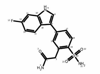 NC(=O)Cc1cc(-c2c[nH]c3cc(F)ccc23)ccc1S(N)(=O)=O